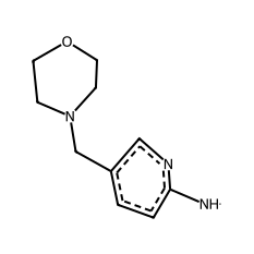 [NH]c1ccc(CN2CCOCC2)cn1